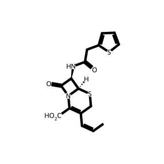 C/C=C\C1=C(C(=O)O)N2C(=O)[C@@H](NC(=O)Cc3cccs3)[C@H]2SC1